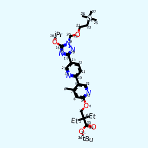 CCC(CC)(COc1cc(C)c(-c2ccc(-c3nc(OC(C)C)n(COCC[Si](C)(C)C)n3)cn2)cn1)C(=O)OC(C)(C)C